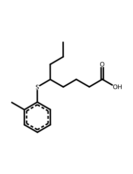 CCCC(CCCC(=O)O)Sc1ccccc1C